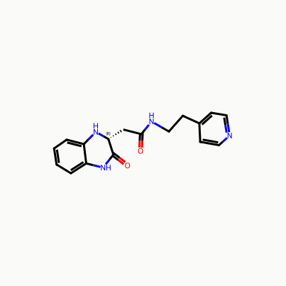 O=C(C[C@H]1Nc2ccccc2NC1=O)NCCc1ccncc1